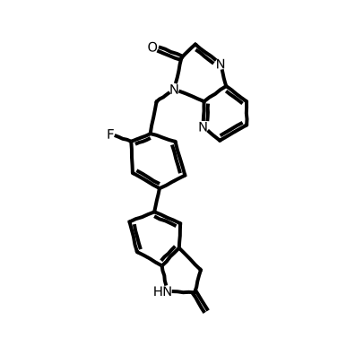 C=C1Cc2cc(-c3ccc(Cn4c(=O)cnc5cccnc54)c(F)c3)ccc2N1